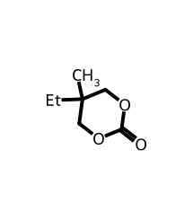 CCC1(C)COC(=O)OC1